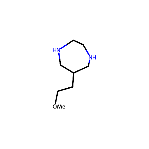 COCCC1CNCCNC1